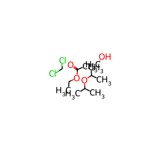 CC(C)OC(C)C.CCOC(C)=O.CO.ClCCl